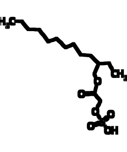 CCCCCCCCCCC(CC)COC(=O)COS(=O)(=O)O